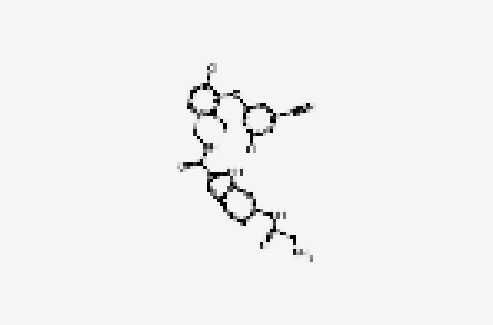 N#Cc1cc(Cl)cc(Oc2c(Cl)ccc(CNC(=O)c3cc4ccc(NC(=O)CN)cc4[nH]3)c2F)c1